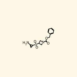 NC1=CC1S(=O)(=O)C1CN(C(=O)OCc2ccccc2)C1